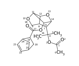 CC(=O)OC(C)(C)C1C2COC3C2OC1C3OC(=O)C1CC2C=CC1C2